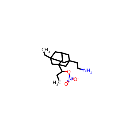 CCC(O[N+](=O)[O-])C12CC3CC(CC)(CC(CCN)(C3)C1)C2